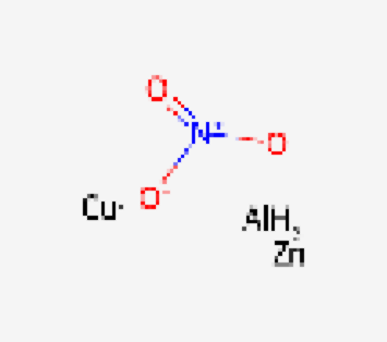 O=[N+]([O-])[O-].[AlH3].[Cu].[Zn]